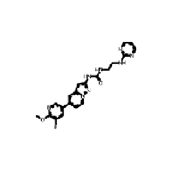 COc1ncc(-c2ccn3nc(NC(=O)NCCNc4ncccn4)cc3c2)cc1F